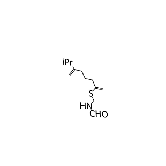 C=C(CCCC(=C)C(C)C)SCNC=O